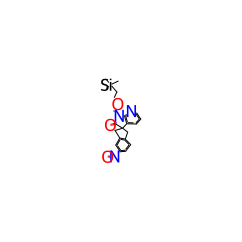 C[Si](C)(C)CCOCN1C(=O)C2(Cc3ccc(N=O)cc3C2)c2cccnc21